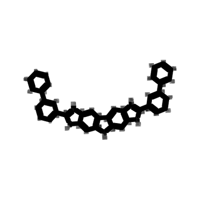 c1ccc(-c2cccc(-c3nc4cc5c(cc4s3)sc3cc4sc(-c6cccc(-c7ccccc7)c6)nc4cc35)c2)cc1